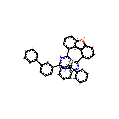 c1ccc(-c2cccc(-c3nc(-c4ccccc4)nc(-c4cccc5oc6cccc(-c7nc8ccccc8s7)c6c45)n3)c2)cc1